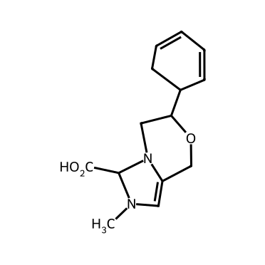 CN1C=C2COC(C3C=CC=CC3)CN2C1C(=O)O